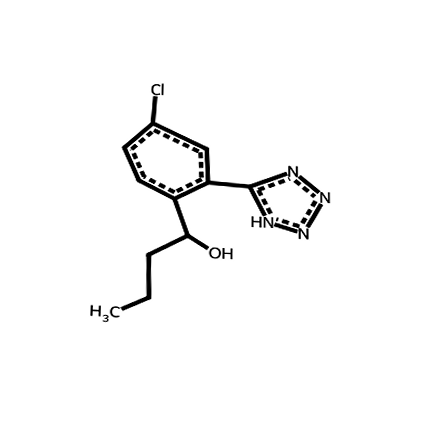 CCCC(O)c1ccc(Cl)cc1-c1nnn[nH]1